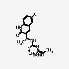 C=N/C(=N\C(=C/C)NC(C)=O)N[C@@H](C)c1cc2cc(Cl)ccc2[nH]c1=O